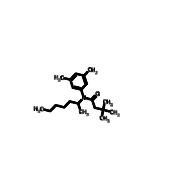 CCCCCC(C)N(C(=O)CC(C)(C)C)c1cc(C)cc(C)c1